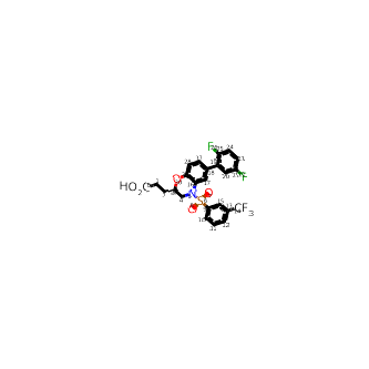 O=C(O)CC[C@@H]1CN(S(=O)(=O)c2cccc(C(F)(F)F)c2)c2cc(-c3cc(F)ccc3F)ccc2O1